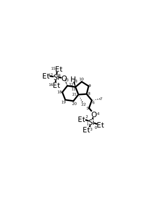 CC[Si](CC)(CC)OC[C@@H](C)C1CC[C@H]2[C@@H](O[Si](CC)(CC)CC)CCC[C@]12C